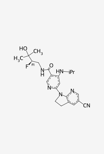 CC(C)Nc1cc(N2CCc3cc(C#N)cnc32)ncc1C(=O)NC[C@@H](F)C(C)(C)O